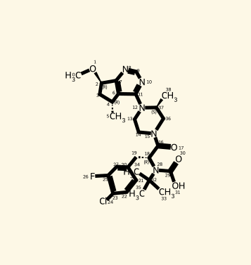 CO[C@@H]1C[C@@H](C)c2c1ncnc2N1CCN(C(=O)[C@@H](Cc2ccc(Cl)c(F)c2)N(C(=O)O)C(C)(C)C)C[C@@H]1C